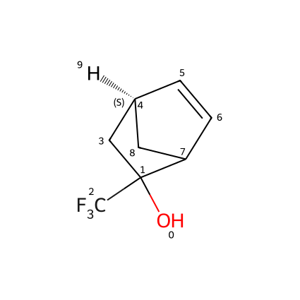 OC1(C(F)(F)F)C[C@H]2C=CC1C2